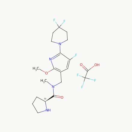 COc1nc(N2CCC(F)(F)CC2)c(F)cc1CN(C)C(=O)[C@@H]1CCCN1.O=C(O)C(F)(F)F